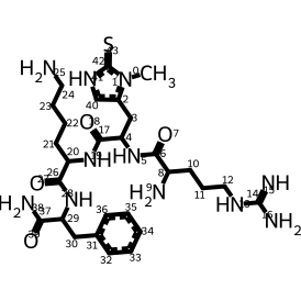 Cn1c(CC(NC(=O)C(N)CCCNC(=N)N)C(=O)NC(CCCCN)C(=O)NC(Cc2ccccc2)C(N)=O)c[nH]c1=S